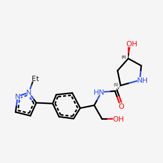 CCn1nccc1-c1ccc(C(CO)NC(=O)[C@@H]2C[C@@H](O)CN2)cc1